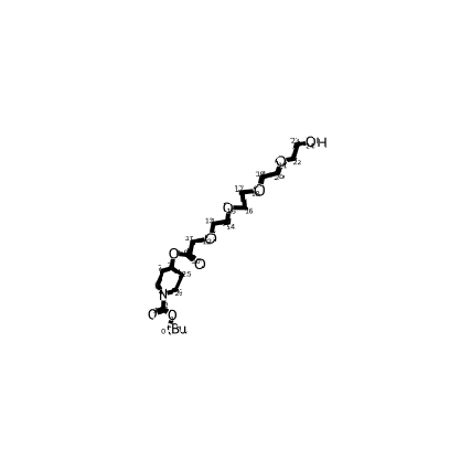 CC(C)(C)OC(=O)N1CCC(OC(=O)COCCOCCOCCOCCO)CC1